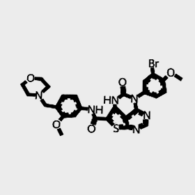 COc1ccc(N2C(=O)Nc3c(C(=O)Nc4ccc(CN5CCOCC5)c(OC)c4)sc4ncnc2c34)cc1Br